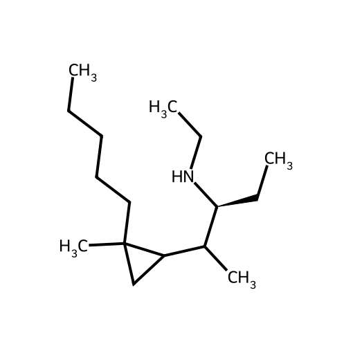 CCCCCC1(C)CC1C(C)[C@H](CC)NCC